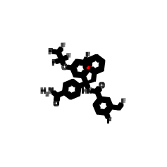 NC(=O)c1ccc([C@@](Cc2ccccc2)(NC(=O)c2ccc(F)c(CF)c2)c2cc(F)cc(OC(F)(F)C(F)F)c2)cc1